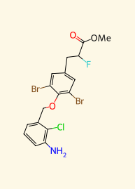 COC(=O)C(F)Cc1cc(Br)c(OCc2cccc(N)c2Cl)c(Br)c1